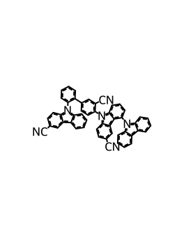 N#Cc1ccc2c(c1)c1ccccc1n2-c1ccccc1-c1ccc(-n2c3ccc(C#N)cc3c3c(-n4c5ccccc5c5ccccc54)cccc32)c(C#N)c1